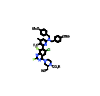 COc1ccc(CN(Cc2ccc(OC)cc2)c2cc(C)c(C(F)(F)F)c(-c3c(Cl)cc4c(N5CCN(C(=O)O)[C@@H](CC#N)C5)nc(F)nc4c3F)n2)cc1